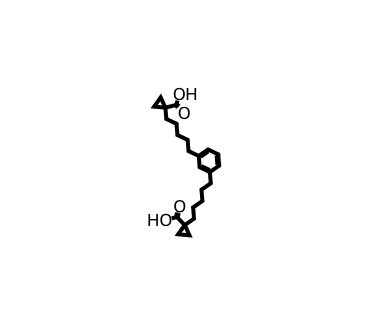 O=C(O)C1(CCCCCc2cccc(CCCCCC3(C(=O)O)CC3)c2)CC1